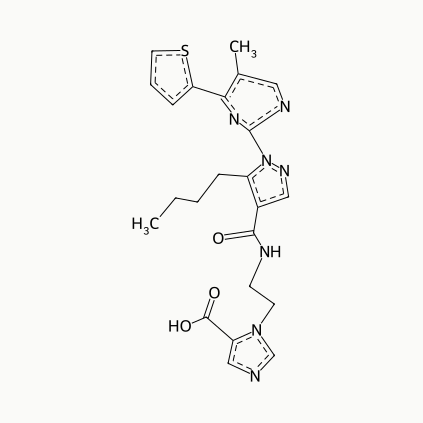 CCCCc1c(C(=O)NCCn2cncc2C(=O)O)cnn1-c1ncc(C)c(-c2cccs2)n1